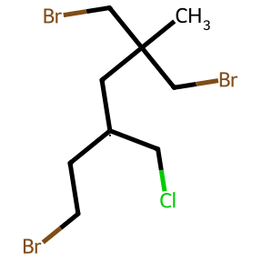 CC(CBr)(CBr)C[C](CCl)CCBr